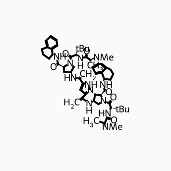 C=C(N[C@H]1C[C@@H](C(=O)N[C@@H]2CCCc3ccccc32)N(C(=O)[C@@H](NC(=O)[C@H](C)NC)C(C)(C)C)C1)c1cc(C(=C)N[C@H]2C[C@@H](C(=O)N[C@@H]3CCCc4ccccc43)N(C(=O)[C@@H](NC(=O)[C@H](C)NC)C(C)(C)C)C2)[nH]n1